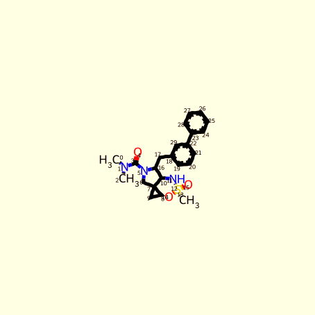 CN(C)C(=O)N1CC2(CC2)C(NS(C)(=O)=O)C1Cc1cccc(-c2ccccc2)c1